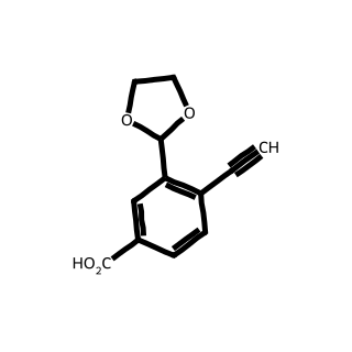 C#Cc1ccc(C(=O)O)cc1C1OCCO1